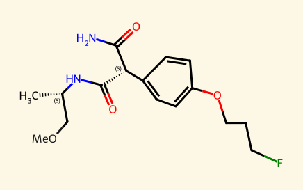 COC[C@H](C)NC(=O)[C@H](C(N)=O)c1ccc(OCCCF)cc1